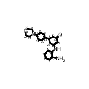 Nc1ccccc1NC1=CC(=O)CC(c2ccc(N3CCOCC3)cc2)C1